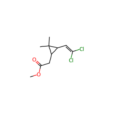 COC(=O)CC1C(C=C(Cl)Cl)C1(C)C